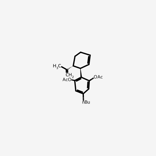 C=C(C)[C@@H]1CCC=C[C@H]1c1c(OC(C)=O)cc(CCCC)cc1OC(C)=O